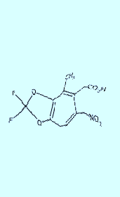 Cc1c2c(cc([N+](=O)[O-])c1C(=O)O)OC(F)(F)O2